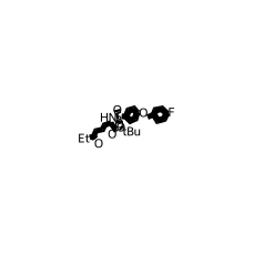 CCC(=O)CCCC(NS(=O)(=O)c1ccc(OCc2ccc(F)cc2)cc1)C(=O)OC(C)(C)C